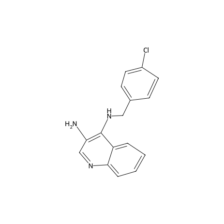 Nc1cnc2ccccc2c1NCc1ccc(Cl)cc1